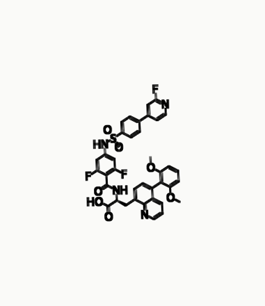 COc1cccc(OC)c1-c1ccc(C[C@H](NC(=O)c2c(F)cc(NS(=O)(=O)c3ccc(-c4ccnc(F)c4)cc3)cc2F)C(=O)O)c2ncccc12